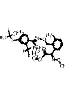 CO/N=C(/C(=O)OC)c1cccc(C)c1CO/N=C(\C)c1ccc(OC(C)(C)I)cc1C(F)(F)P